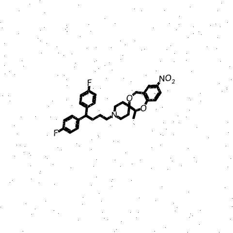 CC1Oc2ccc([N+](=O)[O-])cc2COC12CCN(CCCC(c1ccc(F)cc1)c1ccc(F)cc1)CC2